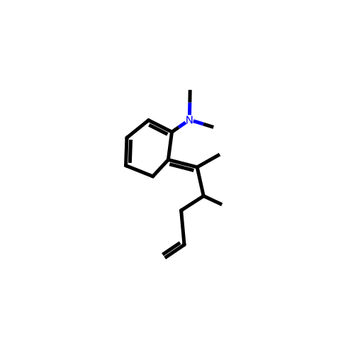 C=CCC(C)C(C)=C1CC=CC=C1N(C)C